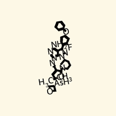 CC(C)(/C=C(/C#N)C(=O)N1CCCC(n2nc(-c3ccc(Oc4ccccc4)cc3F)c3c(N)ncnc32)C1)[AsH]C1COC1